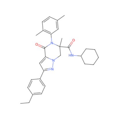 CCc1ccc(-c2cc3n(n2)CC(C)(C(=O)NC2CCCCC2)N(c2cc(C)ccc2C)C3=O)cc1